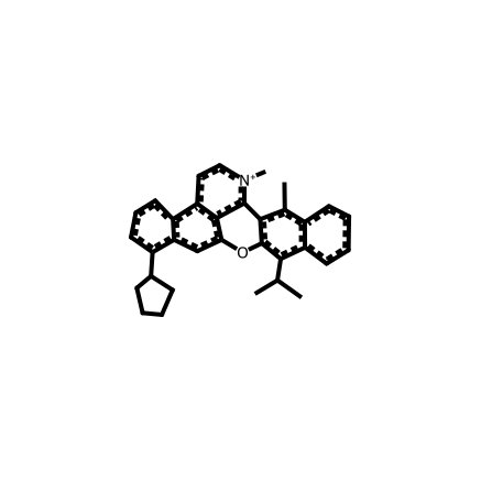 Cc1c2c(c(C(C)C)c3ccccc13)Oc1cc3c(C4CCCC4)cccc3c3cc[n+](C)c-2c13